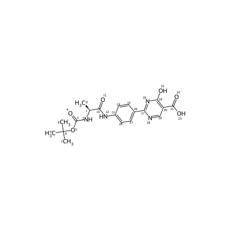 C[C@H](NC(=O)OC(C)(C)C)C(=O)Nc1ccc(-c2ncc(C(=O)O)c(O)n2)cc1